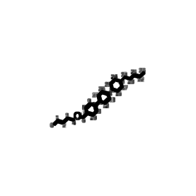 CC=CCCOCc1ccc(-c2ccc([C@H]3CC[C@H](CCC=CC)CC3)cc2)cc1